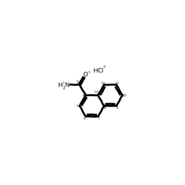 Cl.NC(=O)c1cccc2ccccc12